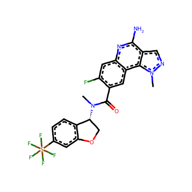 CN(C(=O)c1cc2c(cc1F)nc(N)c1cnn(C)c12)[C@@H]1COc2cc(S(F)(F)(F)(F)F)ccc21